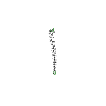 C[Si](C)(Cl)CCCCCCCCCCCCCCCCCCCCCCCCCl